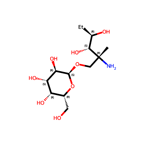 CC[C@@H](O)[C@@H](O)[C@](C)(N)CO[C@H]1O[C@H](CO)[C@H](O)[C@H](O)[C@H]1O